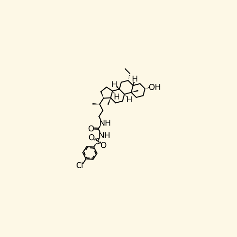 CC[C@H]1C[C@@H]2[C@H](CC[C@]3(C)[C@@H]([C@H](C)CCNC(=O)NS(=O)(=O)c4ccc(Cl)cc4)CC[C@@H]23)[C@@]2(C)CC[C@@H](O)C[C@@H]12